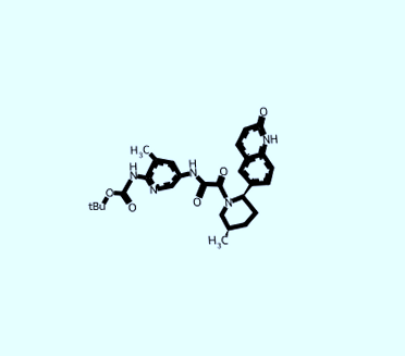 Cc1cc(NC(=O)C(=O)N2C[C@@H](C)CC[C@@H]2c2ccc3[nH]c(=O)ccc3c2)cnc1NC(=O)OC(C)(C)C